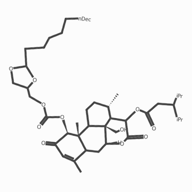 CCCCCCCCCCCCCCCC1OCC(COC(=O)O[C@@H]2C(=O)C=C(C)C3C[C@H]4OC(=O)C(OC(=O)CC(C(C)C)C(C)C)C5[C@@H](C)CCC([C@]32C)[C@]54CO)O1